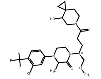 COC[C@H](CCC(=O)N1CCC2(CC2)C(O)C1)N1CCN(c2ccc(C(F)(F)F)c(Cl)c2)C(C)C1=O